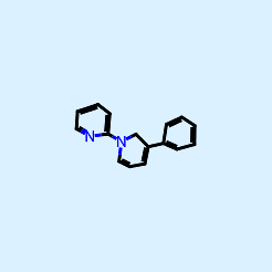 C1=CN(c2ccccn2)CC(c2ccccc2)=C1